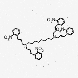 O=[N+]([O-])c1ccccc1C=CCN(CC=Cc1ccccc1[N+](=O)[O-])CCCCCCCCN(CC=Cc1ccccc1[N+](=O)[O-])CC=Cc1ccccc1[N+](=O)[O-]